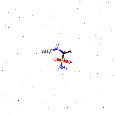 CC(NC(=O)O)S(N)(=O)=O